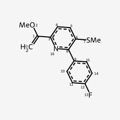 C=C(OC)c1ccc(SC)c(-c2ccc(F)cc2)n1